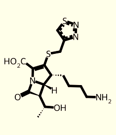 C[C@@H](O)[C@H]1C(=O)N2C(C(=O)O)=C(SCc3csnn3)[C@H](CCCCN)[C@H]12